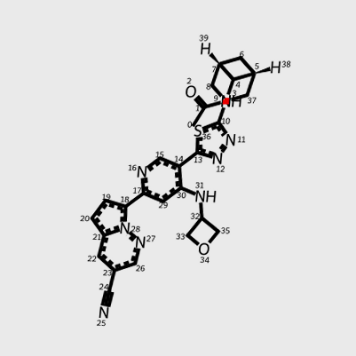 CC(=O)NC1[C@@H]2C[C@H]1CN(c1nnc(-c3cnc(-c4ccc5cc(C#N)cnn45)cc3NC3COC3)s1)C2